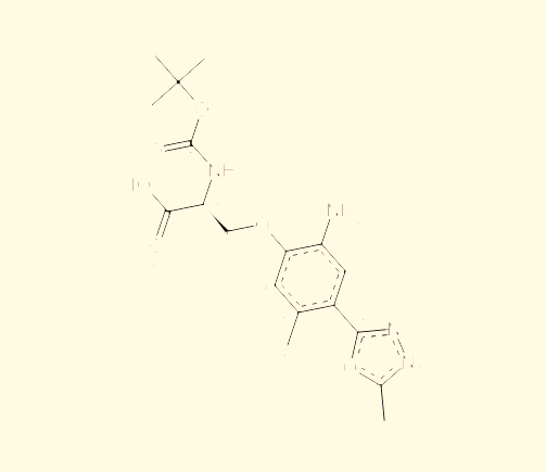 Cc1nnc(-c2cc(N)c(OC[C@H](NC(=O)OC(C)(C)C)C(=O)O)cc2C)o1